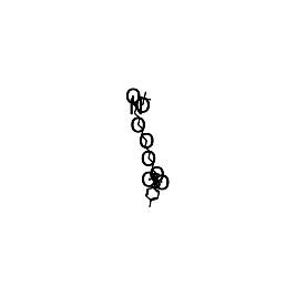 Cc1ccc(S(=O)(=O)OCCOCCOCCOCCN(C=O)OC(C)(C)C)cc1